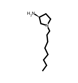 CCCCCCCCN1CC[C@H](N)C1